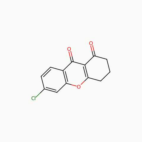 O=C1CCCc2oc3cc(Cl)ccc3c(=O)c21